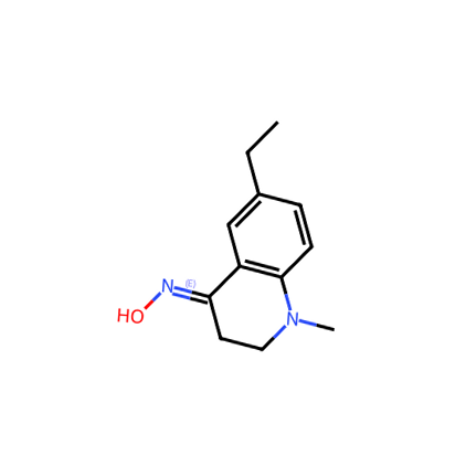 CCc1ccc2c(c1)/C(=N/O)CCN2C